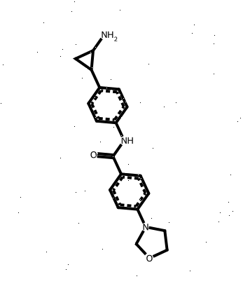 NC1CC1c1ccc(NC(=O)c2ccc(N3CCOC3)cc2)cc1